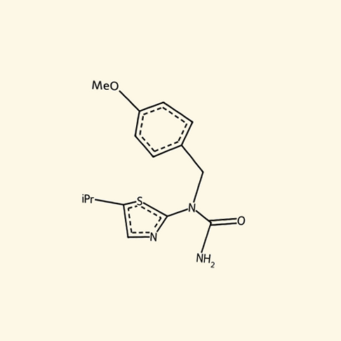 COc1ccc(CN(C(N)=O)c2ncc(C(C)C)s2)cc1